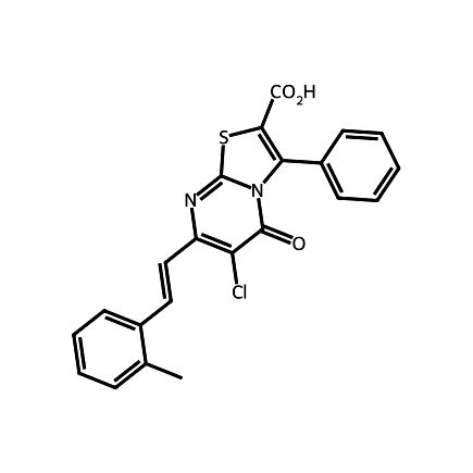 Cc1ccccc1/C=C/c1nc2sc(C(=O)O)c(-c3ccccc3)n2c(=O)c1Cl